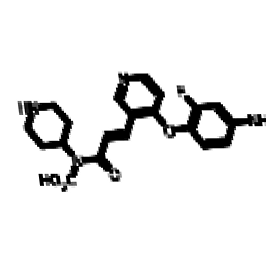 Nc1ccc(Oc2ccncc2/C=C/C(=O)N(C(=O)O)C2CCNCC2)c(F)c1